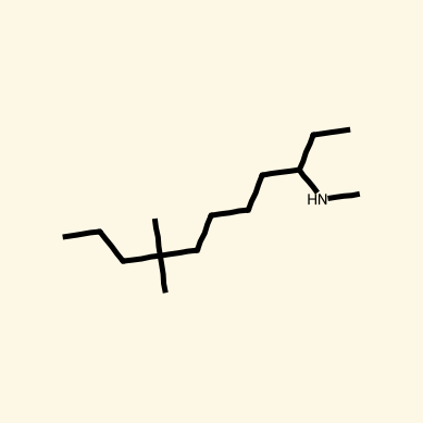 CCCC(C)(C)CCCCC(CC)NC